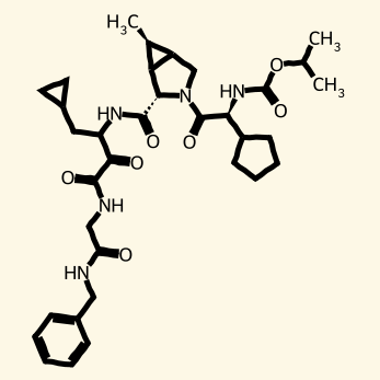 CC(C)OC(=O)N[C@H](C(=O)N1CC2C([C@H]2C)[C@H]1C(=O)NC(CC1CC1)C(=O)C(=O)NCC(=O)NCc1ccccc1)C1CCCC1